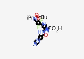 CC(C)N(Cc1cc(F)c(-c2cc3c(NC(=O)c4ccc(N5CCN(C)CC5)cc4)nn(C(=O)O)c3cn2)c(F)c1)C(=O)OC(C)(C)C